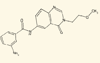 COCCn1cnc2ccc(NC(=O)c3cccc(N)c3)cc2c1=O